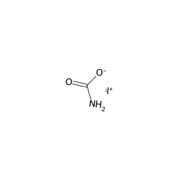 NC(=O)[O-].[I+]